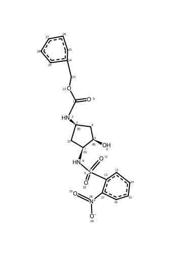 O=C(N[C@H]1C[C@@H](O)[C@@H](NS(=O)(=O)c2ccccc2[N+](=O)[O-])C1)OCc1ccccc1